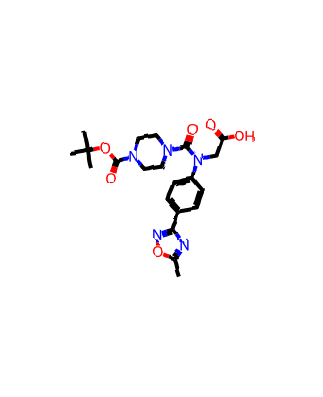 Cc1nc(-c2ccc(N(CC(=O)O)C(=O)N3CCN(C(=O)OC(C)(C)C)CC3)cc2)no1